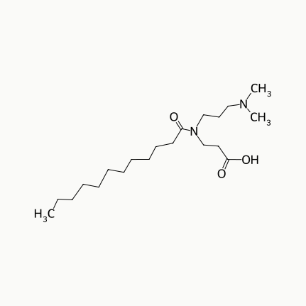 CCCCCCCCCCCC(=O)N(CCCN(C)C)CCC(=O)O